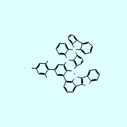 Cc1cc(C)c(-c2cc3c4c(c2)N2c5ccccc5S5(c6ccccc6-c6ccccc65)c5cccc(c52)B4n2c4c-3cccc4c3oc4ccccc4c32)c(C)c1